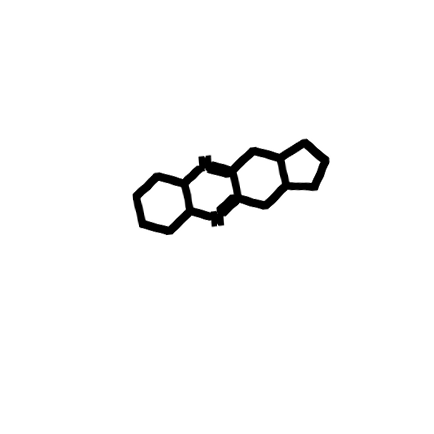 C1CC2CC3=NC4CCCCC4N=C3CC2C1